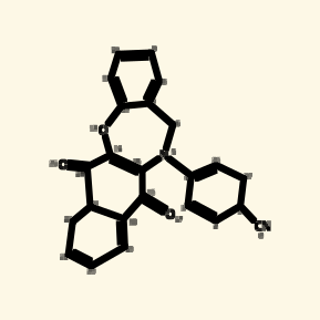 N#CC1C=CC(N2Cc3ccccc3OC3=C2C(=O)C2=CC=CCC2C3=O)=CC1